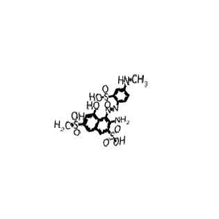 C=S(=O)(O)c1cc(O)c2c(/N=N/c3ccc(NC)cc3S(=O)(=O)O)c(N)c(S(=O)(=O)O)cc2c1